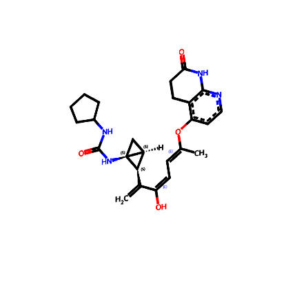 C=C(/C(O)=C\C=C(/C)Oc1ccnc2c1CCC(=O)N2)[C@@H]1[C@@H]2C[C@@]12NC(=O)NC1CCCC1